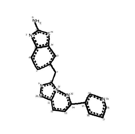 Nc1nc2ccc(Cc3nnc4ccc(-c5cccnc5)nn34)cc2s1